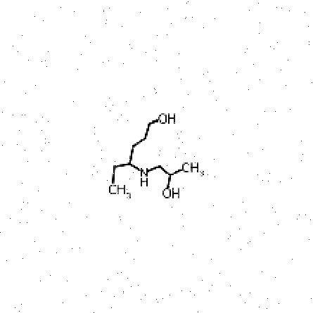 CCC(CCCO)NCC(C)O